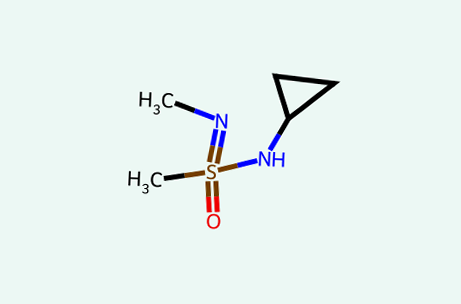 CN=S(C)(=O)NC1CC1